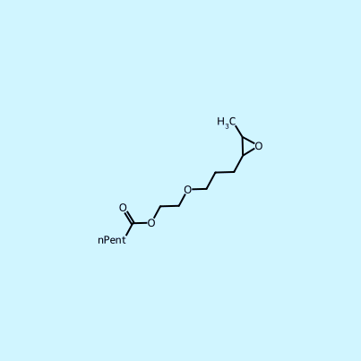 CCCCCC(=O)OCCOCCCC1OC1C